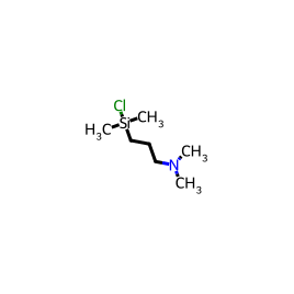 CN(C)CCC[Si](C)(C)Cl